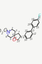 O=C(O)N1CCC2(CC1)C[C@H](c1cccc(-c3ccc(F)cc3)c1)CO2